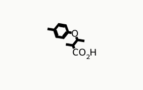 Cc1ccc(OC(C)C(C)C(=O)O)cc1